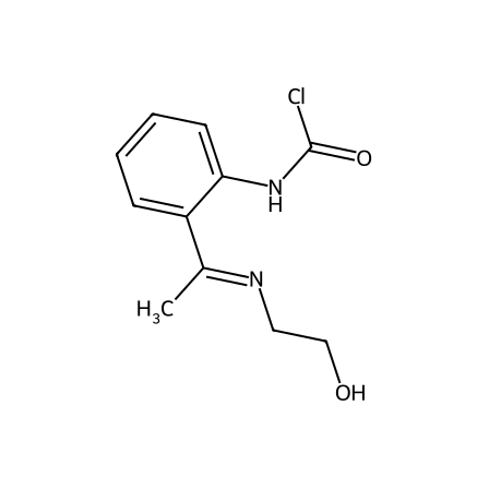 CC(=NCCO)c1ccccc1NC(=O)Cl